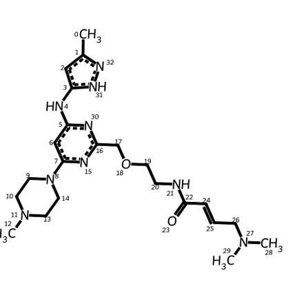 Cc1cc(Nc2cc(N3CCN(C)CC3)nc(COCCNC(=O)/C=C/CN(C)C)n2)[nH]n1